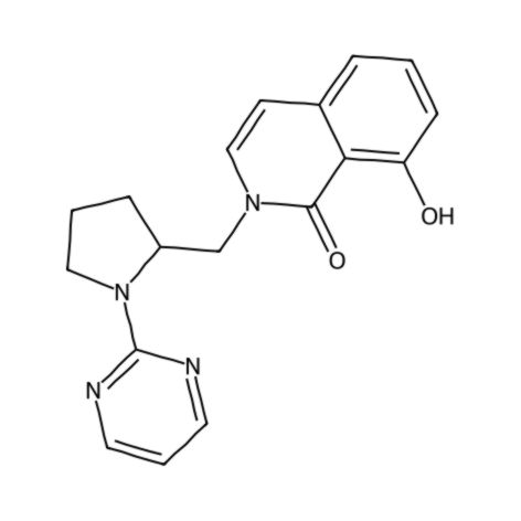 O=c1c2c(O)cccc2ccn1CC1CCCN1c1ncccn1